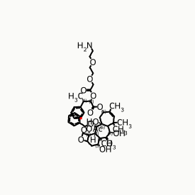 CC(=O)O[C@@]12COC1C[C@H](O)[C@@]1(C)C(=O)[C@H](O)C3C(C)(C)C=C(C)[C@@H](OC(=O)[C@H](OC(=O)COCCOCCN)[C@@H](C)c4ccccc4)C[C@@]3(O)[C@@H](OC(=O)c3ccccc3)[C@@H]12